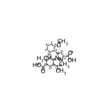 COc1cccc(OC)c1-c1cc(C(=O)O)nn1-c1ccc(C(=O)O)cc1C(C)C